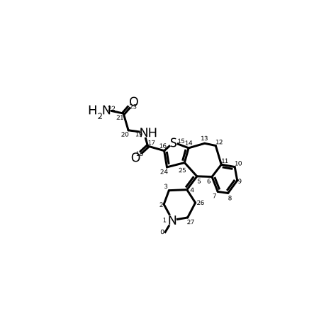 CN1CCC(=C2c3ccccc3CCc3sc(C(=O)NCC(N)=O)cc32)CC1